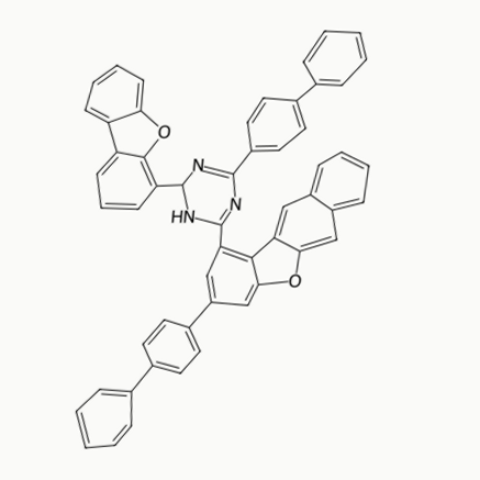 c1ccc(-c2ccc(C3=NC(c4cccc5c4oc4ccccc45)NC(c4cc(-c5ccc(-c6ccccc6)cc5)cc5oc6cc7ccccc7cc6c45)=N3)cc2)cc1